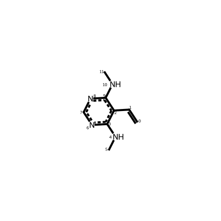 C=Cc1c(NC)ncnc1NC